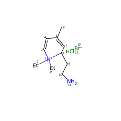 CC[N+]1(CC)C=CC(C)=CC1CCN.Cl.[Br-]